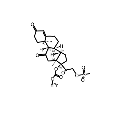 CCCOC(=O)O[C@]1(C(=O)COS(C)(=O)=O)CC[C@H]2[C@@H]3CCC4=CC(=O)CC[C@]4(C)[C@H]3C(=O)C[C@@]21C